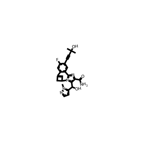 Cn1nccc1C(O)c1c(C(N)=O)nc2n1C1C=C(C1)c1cc(F)c(C#CC(C)(C)O)cc1-2